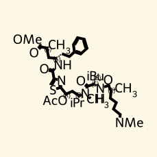 CC[C@H](C)[C@H](NC(=O)[C@H](C)CCCCNC)C(=O)N(C)[C@H](C[C@@H](OC(C)=O)c1nc(C(=O)N[C@@H](CCc2ccccc2)C[C@H](C)C(=O)OC)cs1)C(C)C